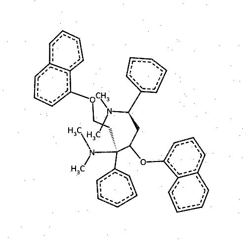 CN(C)[C@H](CC(Oc1cccc2ccccc12)[C@@](CCOc1cccc2ccccc12)(c1ccccc1)N(C)C)c1ccccc1